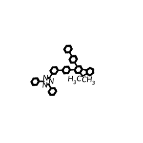 CC1(C)c2ccccc2-c2cc(-c3ccc(-c4ccccc4)cc3)c(-c3ccc(-c4cccc(-c5nc(-c6ccccc6)nc(-c6ccccc6)n5)c4)cc3)cc21